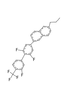 CCCc1ccc2cc(-c3cc(F)c(-c4ccc(C(F)(F)F)c(F)c4)c(F)c3)ccc2c1